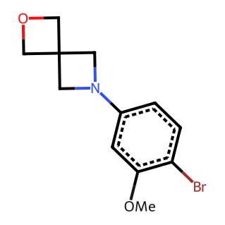 COc1cc(N2CC3(COC3)C2)ccc1Br